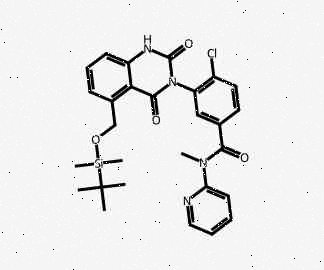 CN(C(=O)c1ccc(Cl)c(-n2c(=O)[nH]c3cccc(CO[Si](C)(C)C(C)(C)C)c3c2=O)c1)c1ccccn1